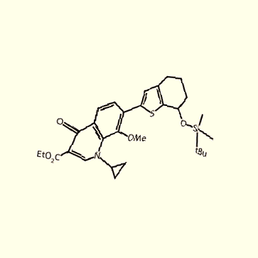 CCOC(=O)c1cn(C2CC2)c2c(OC)c(-c3cc4c(s3)C(O[Si](C)(C)C(C)(C)C)CCC4)ccc2c1=O